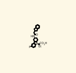 CCC(C(=O)O)n1c2c(c3cc(F)ccc31)C[C@@H](NC(=O)CC1Cc3ccccc3C1)CC2